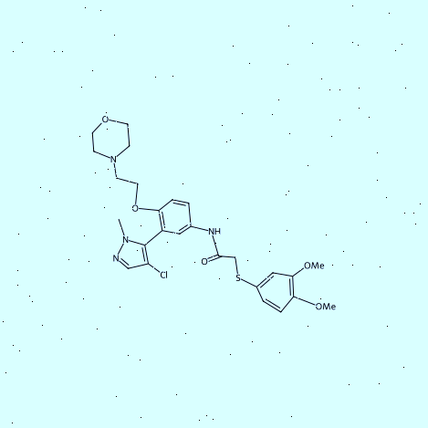 COc1ccc(SCC(=O)Nc2ccc(OCCN3CCOCC3)c(-c3c(Cl)cnn3C)c2)cc1OC